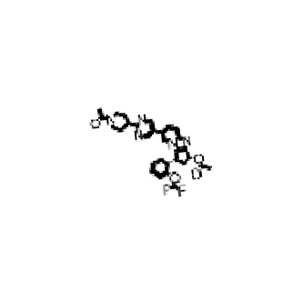 CC(=O)O[C@@H]1C[C@H](c2ccccc2OC(F)F)c2c1nc1ccc(-c3cnc(C4CCN(C(C)=O)CC4)nc3)cn21